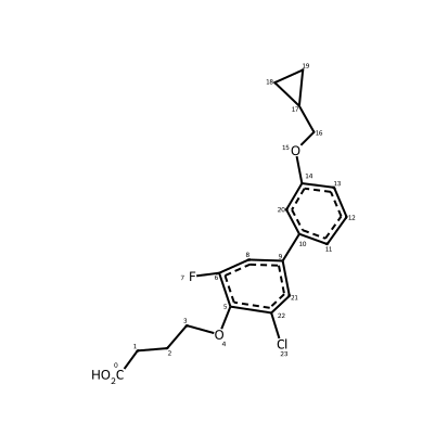 O=C(O)CCCOc1c(F)cc(-c2cccc(OCC3CC3)c2)cc1Cl